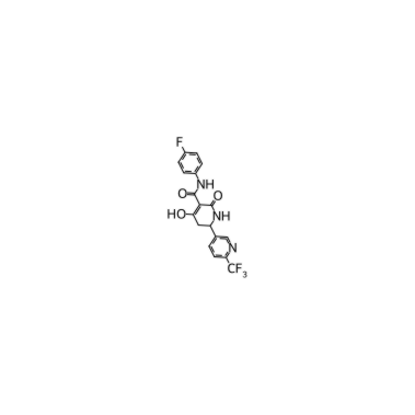 O=C(Nc1ccc(F)cc1)C1=C(O)CC(c2ccc(C(F)(F)F)nc2)NC1=O